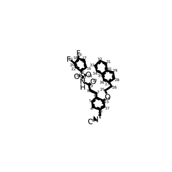 [C-]#[N+]Cc1ccc(/C=C/C(=O)NS(=O)(=O)c2ccc(F)c(F)c2)c(OCCc2ccc3ccccc3c2)c1